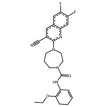 CCOC1=C(NC(=O)N2CCCN(c3nc4cc(F)c(F)cc4cc3C#N)CC2)C=CCC1